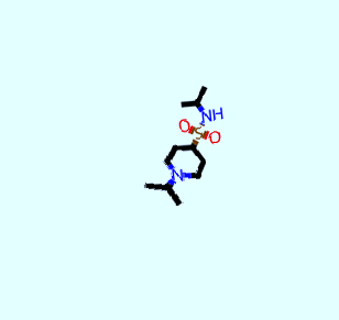 CC(C)NS(=O)(=O)C1CCN(C(C)C)CC1